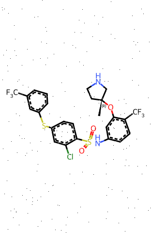 C[C@@]1(Oc2cc(NS(=O)(=O)c3ccc(Sc4cccc(C(F)(F)F)c4)cc3Cl)ccc2C(F)(F)F)CCNC1